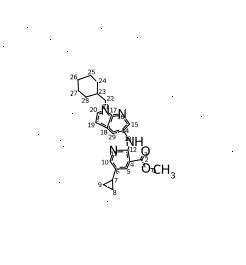 COC(=O)c1cc(C2CC2)cnc1Nc1cnc2c(ccn2CC2CCCCC2)c1